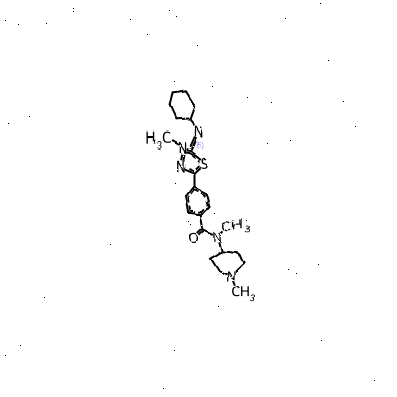 CN1CCC(N(C)C(=O)c2ccc(-c3nn(C)/c(=N\C4CCCCC4)s3)cc2)CC1